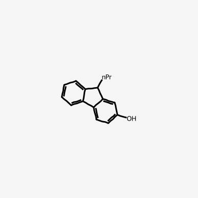 CCCC1c2ccccc2-c2ccc(O)cc21